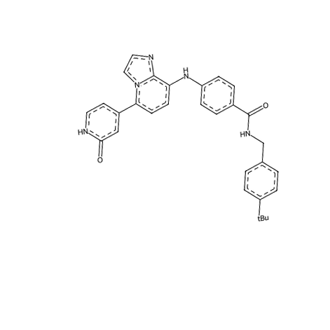 CC(C)(C)c1ccc(CNC(=O)c2ccc(Nc3ccc(-c4cc[nH]c(=O)c4)n4ccnc34)cc2)cc1